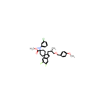 COC(=O)C1(Nc2cccc(Cl)c2)CCC2(CC1)C(C[C@@H](C)COCc1ccc(OC)cc1)=Cc1cc(F)c(F)cc12